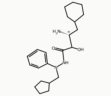 N[C@H](CC1CCCCC1)C(O)C(=O)NN(CC1CCCC1)c1ccccc1